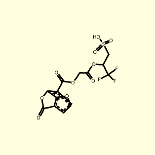 O=C(COC(=O)c1c2c3oc1cc3C(=O)O2)OC(CS(=O)(=O)O)C(F)(F)F